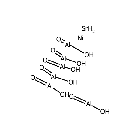 [Ni].[O]=[Al][OH].[O]=[Al][OH].[O]=[Al][OH].[O]=[Al][OH].[O]=[Al][OH].[O]=[Al][OH].[SrH2]